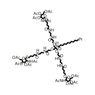 CC(=O)NC1C(OC(C)=O)[C@@H](OC(C)=O)C(COC(C)=O)O[C@H]1OCCCCC(=O)NCCCNC(=O)CCOCC(COCCC(=O)NCCCNC(=O)CCCCO[C@@H]1OC(COC(C)=O)[C@H](OC(C)=O)C(OC(C)=O)C1NC(C)=O)(COCCC(=O)NCCCNC(=O)CCCCO[C@@H]1OC(COC(C)=O)[C@H](OC(C)=O)C(OC(C)=O)C1NC(C)=O)NC(=O)CCCCCCCCCCC(C)C